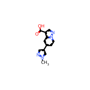 Cn1cc(-c2ccn3ncc(C(=O)O)c3c2)cn1